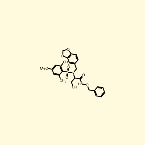 COc1cc(C)c(S(=O)(=O)N(Cc2ccc3c(c2)OCO3)C(CO)C(=O)NOCc2ccccc2)c(C)c1